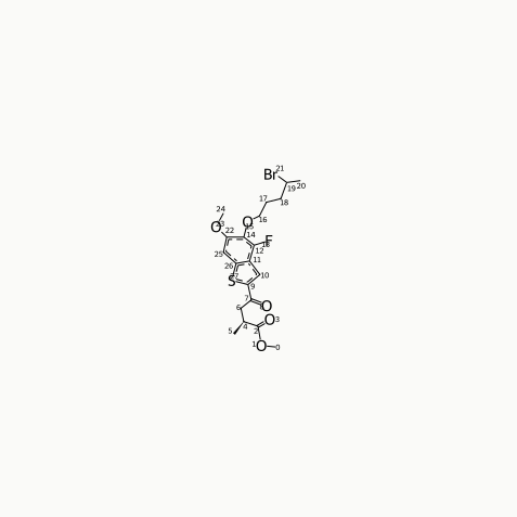 COC(=O)[C@@H](C)CC(=O)c1cc2c(F)c(OCCCC(C)Br)c(OC)cc2s1